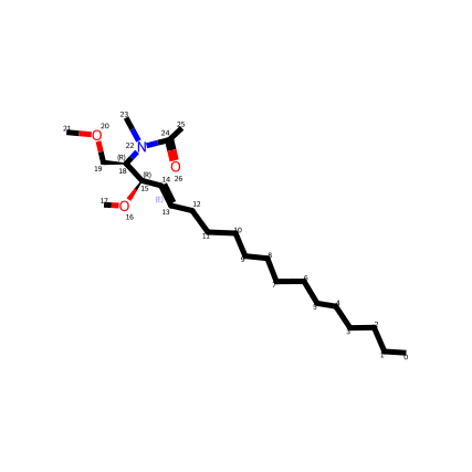 CCCCCCCCCCCCC/C=C/[C@@H](OC)[C@@H](COC)N(C)C(C)=O